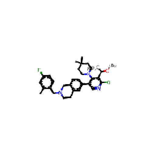 Cc1cc(F)ccc1CN1CCc2cc(-c3cnc(Cl)c(C(OC(C)(C)C)C(=O)O)c3N3CCC(C)(C)CC3)ccc2C1